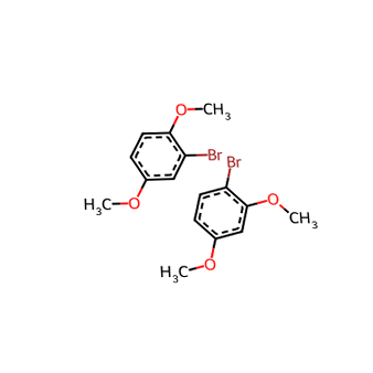 COc1ccc(Br)c(OC)c1.COc1ccc(OC)c(Br)c1